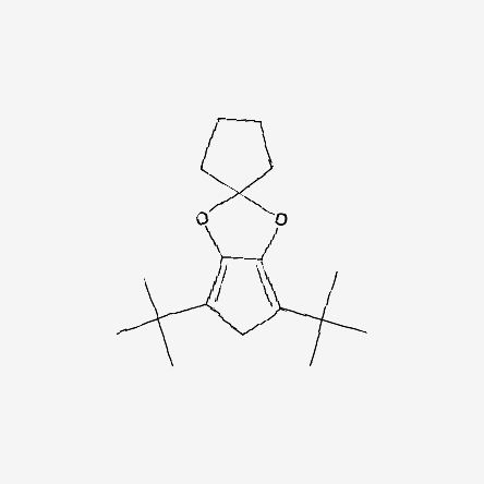 CC(C)(C)C1=C2OC3(CCCC3)OC2=C(C(C)(C)C)C1